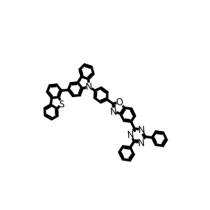 c1ccc(-c2nc(-c3ccccc3)nc(-c3ccc4oc(-c5ccc(-n6c7ccccc7c7cc(-c8cccc9c8sc8ccccc89)ccc76)cc5)nc4c3)n2)cc1